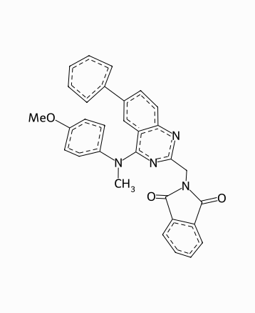 COc1ccc(N(C)c2nc(CN3C(=O)c4ccccc4C3=O)nc3ccc(-c4ccccc4)cc23)cc1